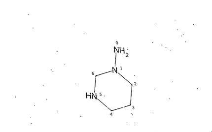 NN1CCCNC1